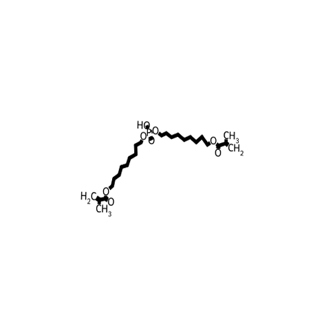 C=C(C)C(=O)OCCCCCCCCCOP(=O)(O)OCCCCCCCCCOC(=O)C(=C)C